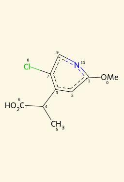 COc1cc(C(C)C(=O)O)c(Cl)cn1